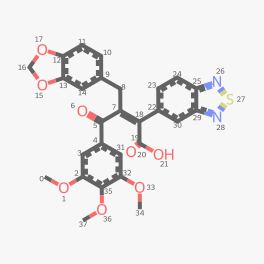 COc1cc(C(=O)C(Cc2ccc3c(c2)OCO3)=C(C(=O)O)c2ccc3nsnc3c2)cc(OC)c1OC